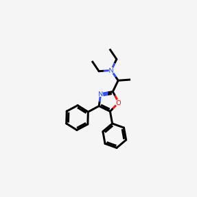 CCN(CC)C(C)c1nc(-c2ccccc2)c(-c2ccccc2)o1